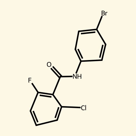 O=C(Nc1ccc(Br)cc1)c1c(F)cccc1Cl